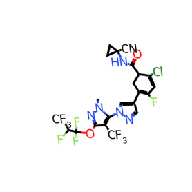 Cn1nc(OC(F)(F)C(F)C(F)(F)F)c(C(F)(F)F)c1-n1cc(C2=C(F)C=C(Cl)C(C(=O)NC3(C#N)CC3)C2)cn1